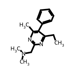 CCc1nc(CN(C)C)nc(C)c1-c1ccccc1